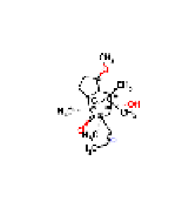 C/C=C\[C@]1(C)C[C@@H](O)[C@]2(C)C(C)CCC3(CC[C@@H](OC)C32)[C@@H](C)C1=O